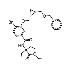 CCOC(=O)C(CC)(CC)NC(=O)c1ccc(Br)c(OC[C@@H]2C[C@H]2COCc2ccccc2)n1